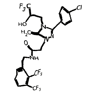 C=C1N(CC(=O)NCc2cccc(C(F)(F)F)c2C(F)(F)F)N=C(c2ccc(Cl)cc2)N1CC(O)C(F)(F)F